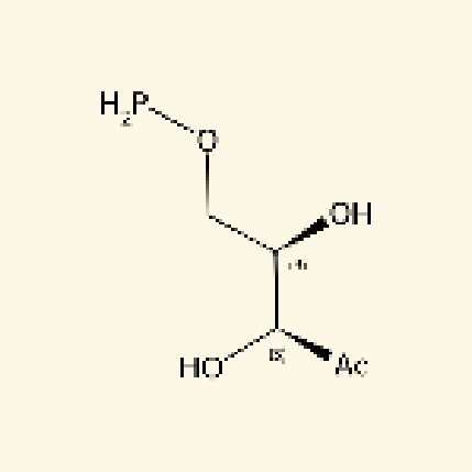 CC(=O)[C@@H](O)[C@H](O)COP